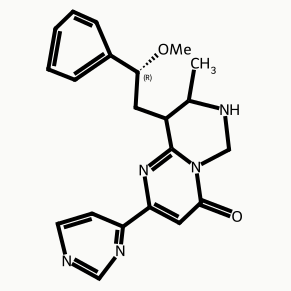 CO[C@H](CC1c2nc(-c3ccncn3)cc(=O)n2CNC1C)c1ccccc1